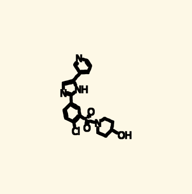 O=S(=O)(c1cc(-c2ncc(-c3cccnc3)[nH]2)ccc1Cl)N1CCC(O)CC1